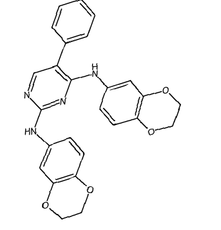 c1ccc(-c2cnc(Nc3ccc4c(c3)OCCO4)nc2Nc2ccc3c(c2)OCCO3)cc1